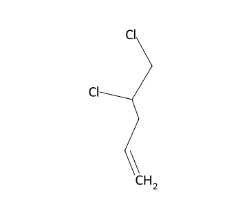 C=CCC(Cl)CCl